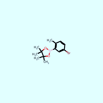 Cc1ccc(Br)cc1B1OC(C)(C)C(C)(C)O1